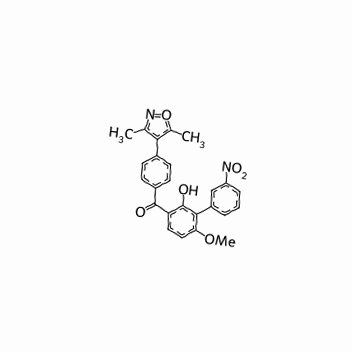 COc1ccc(C(=O)c2ccc(-c3c(C)noc3C)cc2)c(O)c1-c1cccc([N+](=O)[O-])c1